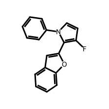 Fc1ccn(-c2ccccc2)c1-c1cc2ccccc2o1